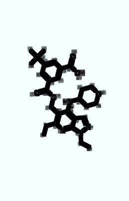 CCc1nc2c(cnn2CC)c(NC2CCOCC2)c1COC(=O)c1cc(C(=O)O)cc(C(C)(C)C)c1